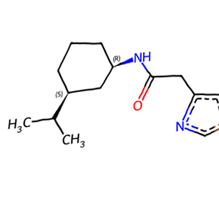 CC(C)[C@H]1CCC[C@@H](NC(=O)Cc2cscn2)C1